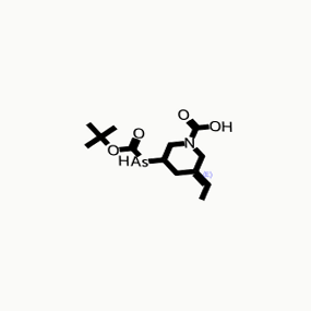 C/C=C1\CC([AsH]C(=O)OC(C)(C)C)CN(C(=O)O)C1